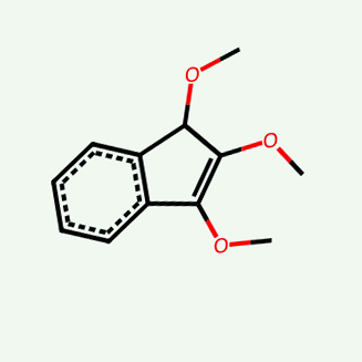 COC1=C(OC)C(OC)c2ccccc21